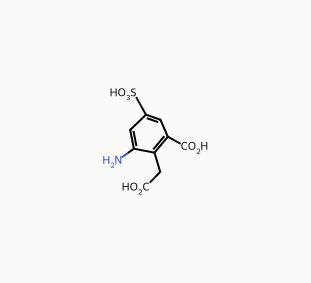 Nc1cc(S(=O)(=O)O)cc(C(=O)O)c1CC(=O)O